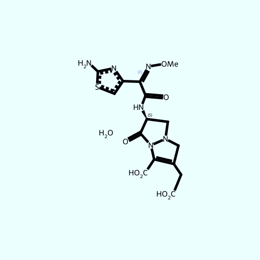 CO/N=C(\C(=O)N[C@H]1CN2CC(CC(=O)O)=C(C(=O)O)N2C1=O)c1csc(N)n1.O